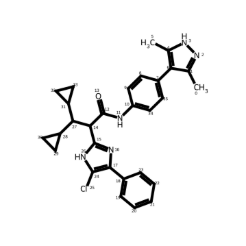 Cc1n[nH]c(C)c1-c1ccc(NC(=O)C(c2nc(-c3ccccc3)c(Cl)[nH]2)C(C2CC2)C2CC2)cc1